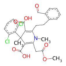 COC(=O)CC1=C(C(=O)O)C(C)(c2c(Cl)cccc2Cl)C(C(=O)O)=C(CCc2ccccc2C=O)N1C